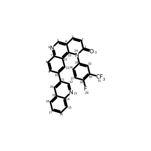 O=c1ccc2cnc3ccc(-c4cnc5ccccc5c4)cc3c2n1-c1ccc(F)c(C(F)(F)F)c1